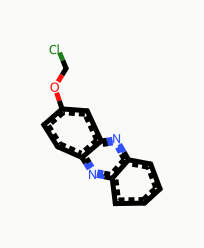 ClCOc1ccc2nc3ccccc3nc2c1